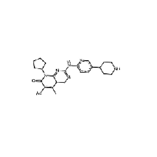 CC(=O)C1=C(C)C2CN=C(Nc3ccc(C4CCNCC4)cn3)N=C2N(C2CCCC2)C1=O